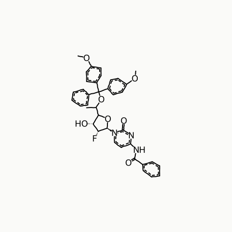 COc1ccc(C(OC(C)C2O[C@@H](n3ccc(NC(=O)c4ccccc4)nc3=O)[C@H](F)[C@@H]2O)(c2ccccc2)c2ccc(OC)cc2)cc1